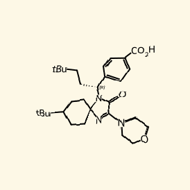 CC(C)(C)CC[C@H](c1ccc(C(=O)O)cc1)N1C(=O)C(N2CCOCC2)=NC12CCC(C(C)(C)C)CC2